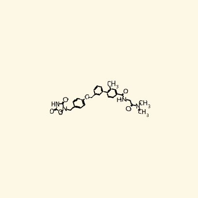 Cc1cc(C(=O)NCC(=O)N(C)C)ccc1-c1cccc(COc2ccc(Cn3oc(=O)[nH]c3=O)cc2)c1